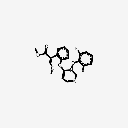 CO/C=C(/C(=O)OC)c1ccccc1OC1=CC=NCN1Oc1c(F)cccc1F